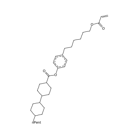 C=CC(=O)OCCCCCCc1ccc(OC(=O)C2CCC(C3CCC(CCCCC)CC3)CC2)cc1